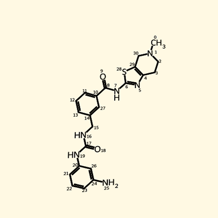 CN1CCc2nc(NC(=O)c3cccc(CNC(=O)Nc4cccc(N)c4)c3)sc2C1